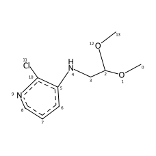 COC(CNc1cccnc1Cl)OC